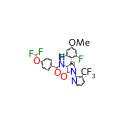 COc1cc(F)c([C@@H]2CN(c3ncccc3C(F)(F)F)C(=O)C2NC(=O)c2ccc(OC(F)F)cc2)c(F)c1